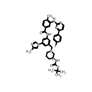 Cc1cn(-c2cc(CN3CCC[C@H](NC(=O)OC(C)(C)C)C3)cc(NC(=O)c3ccc(C)c(Nc4nccc(-c5ccc(F)cc5)n4)c3)c2)cn1